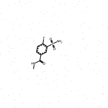 CNC(=O)c1ccc(F)c(S(N)(=O)=O)c1